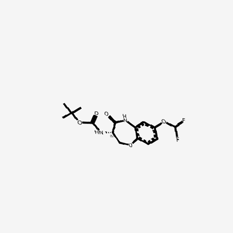 CC(C)(C)OC(=O)N[C@H]1COc2ccc(OC(F)F)cc2NC1=O